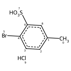 Cc1ccc(Br)c(S(=O)(=O)O)c1.Cl